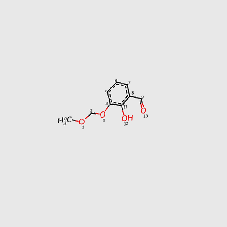 COCOc1cccc(C=O)c1O